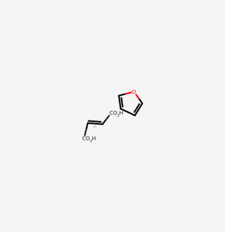 O=C(O)/C=C/C(=O)O.c1ccoc1